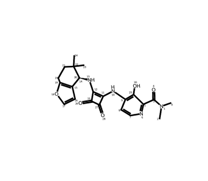 CN(C)C(=O)c1nccc(Nc2c(N[C@H]3c4ccoc4CCC3(C)C)c(=O)c2=O)c1O